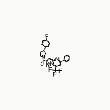 O=C(c1cc2nc(-c3ccccc3)cc(C(F)(F)F)n2n1)N1CCC(c2ccc(F)cc2)C1